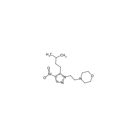 CC(C)CCc1c([N+](=O)[O-])cnn1CCN1CCOCC1